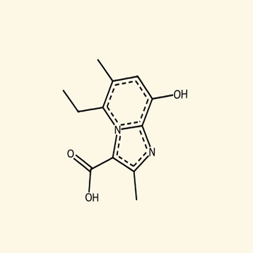 CCc1c(C)cc(O)c2nc(C)c(C(=O)O)n12